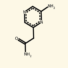 NC(=O)Cc1cncc(N)n1